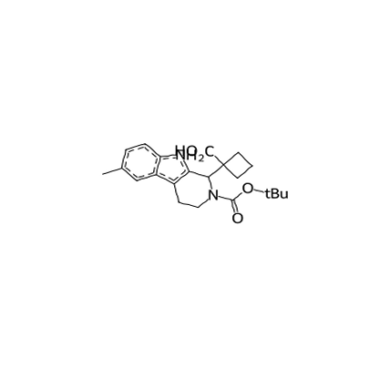 Cc1ccc2[nH]c3c(c2c1)CCN(C(=O)OC(C)(C)C)C3C1(C(=O)O)CCC1